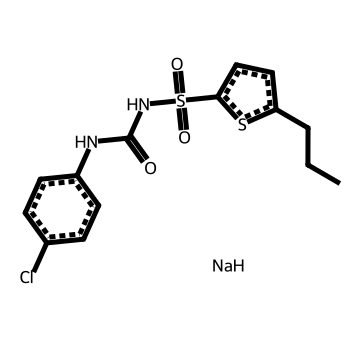 CCCc1ccc(S(=O)(=O)NC(=O)Nc2ccc(Cl)cc2)s1.[NaH]